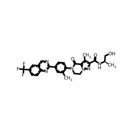 Cc1cc(-c2ncc3cc(C(F)(F)F)ccc3n2)ccc1N1CCn2nc(C(=O)N[C@H](C)CO)c(C)c2C1=O